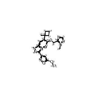 CCOc1cc(-c2nnc3cc(C4(C)CCC4)c(OCc4ncnn4C)nn23)no1